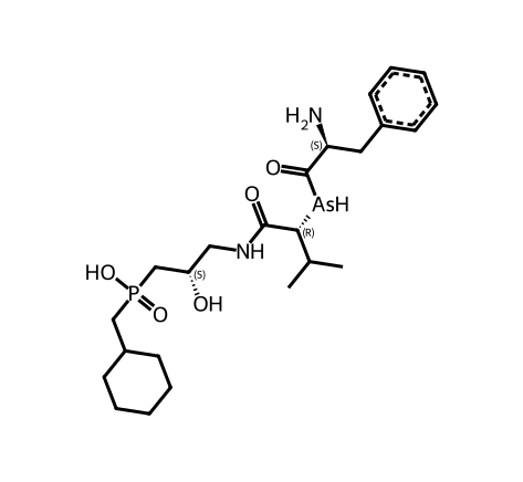 CC(C)[C@@H]([AsH]C(=O)[C@@H](N)Cc1ccccc1)C(=O)NC[C@H](O)CP(=O)(O)CC1CCCCC1